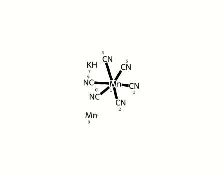 N#[C][Mn]([C]#N)([C]#N)([C]#N)([C]#N)[C]#N.[KH].[Mn]